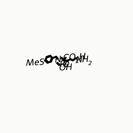 CSc1ccc(CN2CCP(=O)(O)C(CCCCN)(C(=O)O)C2)cc1